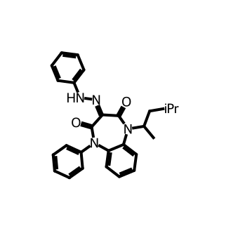 CC(C)CC(C)n1c(=O)/c(=N/Nc2ccccc2)c(=O)n(-c2ccccc2)c2ccccc21